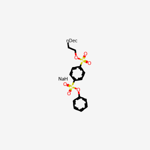 CCCCCCCCCCCCOS(=O)(=O)c1ccc(S(=O)(=O)Oc2ccccc2)cc1.[NaH]